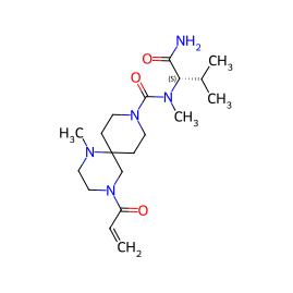 C=CC(=O)N1CCN(C)C2(CCN(C(=O)N(C)[C@H](C(N)=O)C(C)C)CC2)C1